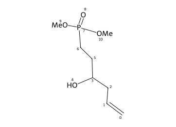 C=CCC(O)CCP(=O)(OC)OC